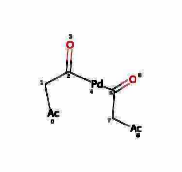 CC(=O)C[C](=O)[Pd][C](=O)CC(C)=O